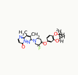 [2H]C1([2H])Oc2ccc(O[C@@H]3CCN(c4nn5c(=O)ccnc5c(C)c4C)C[C@H]3F)cc2OC1([2H])[2H]